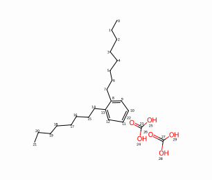 CCCCCCCCc1ccccc1CCCCCCCC.O=C(O)O.O=C(O)O